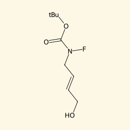 CC(C)(C)OC(=O)N(F)CC=CCO